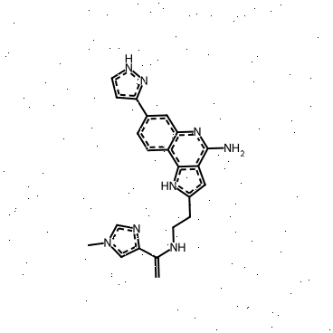 C=C(NCCc1cc2c(N)nc3cc(-c4cc[nH]n4)ccc3c2[nH]1)c1cn(C)cn1